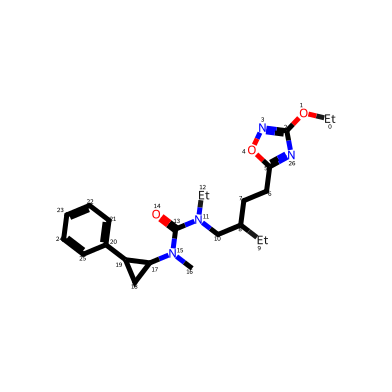 CCOc1noc(CCC(CC)CN(CC)C(=O)N(C)C2CC2c2ccccc2)n1